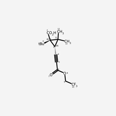 CC(C)(C)[C@]1(C(=O)O)[C@@H](C#CC(=O)OCC(F)(F)F)C1(C)C